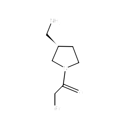 CC(C)CC(=O)N1CC[C@H](CN)C1